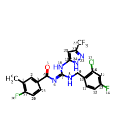 Cc1cc(C(=O)/N=C(/NCc2ccc(F)cc2Cl)Nc2cc(C(F)(F)F)n[nH]2)ccc1F